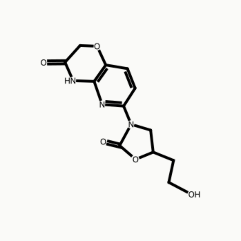 O=C1COc2ccc(N3CC(CCO)OC3=O)nc2N1